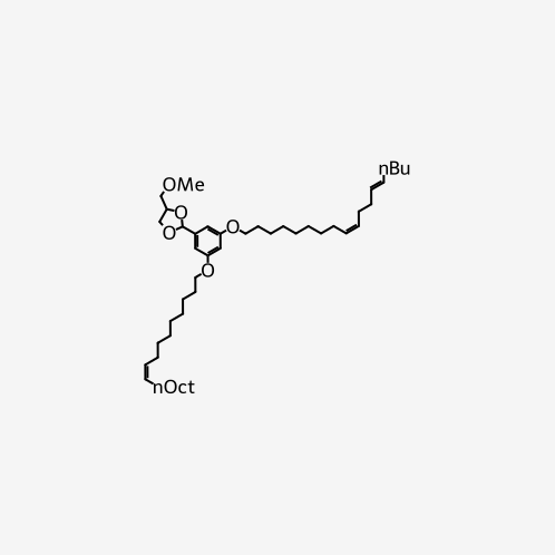 CCCC/C=C/CC/C=C\CCCCCCCCOc1cc(OCCCCCCCC/C=C\CCCCCCCC)cc(C2OCC(COC)O2)c1